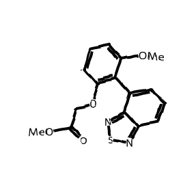 COC(=O)COc1[c]ccc(OC)c1-c1cccc2nsnc12